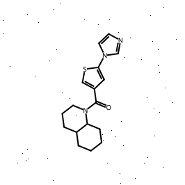 O=C(c1csc(-n2ccnc2)c1)N1CCCC2CCCCC21